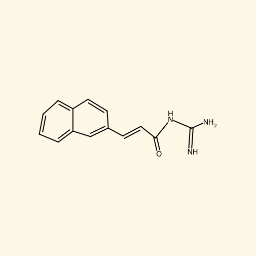 N=C(N)NC(=O)/C=C/c1ccc2ccccc2c1